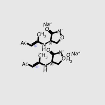 CC(=O)/C=C(\C)N[C@@H]1CO[N-]C1=O.CC(=O)/C=C(\C)N[C@@H]1CO[N-]C1=O.O.[Na+].[Na+]